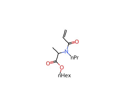 C=CC(=O)N(CCC)C(C)C(=O)OCCCCCC